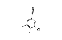 Cc1cc(C#N)cc(Cl)c1C